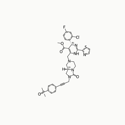 COC(=O)C1=C(CN2CCN3C(=O)N(CC#Cc4ccc(P(C)(C)=O)cc4)C[C@@H]3C2)NC(c2nccs2)=N[C@H]1c1ccc(F)cc1Cl